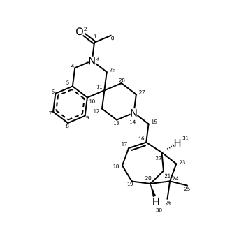 CC(=O)N1Cc2ccccc2C2(CCN(CC3=CCC[C@@H]4C[C@@H]3CC4(C)C)CC2)C1